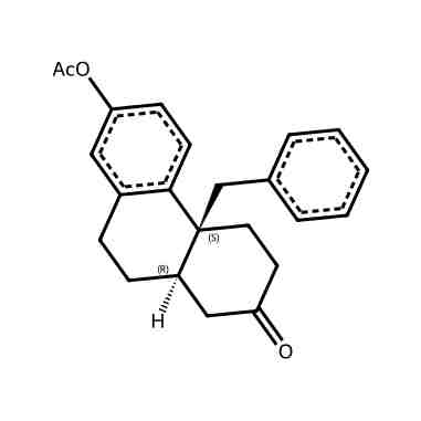 CC(=O)Oc1ccc2c(c1)CC[C@@H]1CC(=O)CC[C@@]21Cc1ccccc1